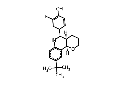 CC(C)(C)c1ccc2c(c1)[C@H]1OCCC[C@H]1[C@H](C1C=CC(O)=C(F)C1)N2